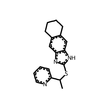 CC(Sc1nc2cc3c(cc2[nH]1)CCCC3)c1ccccn1